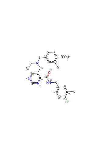 CC(=O)CN(Cc1ccc(C(=O)O)c(C)c1)Cc1cncnc1C(=O)NCc1ccc(F)c(C)c1